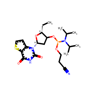 CC[C@H]1O[C@@H](n2c(=O)[nH]c(=O)c3sccc32)CC1OP(OCCC#N)N(C(C)C)C(C)C